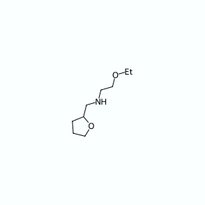 CCOCCNCC1CCCO1